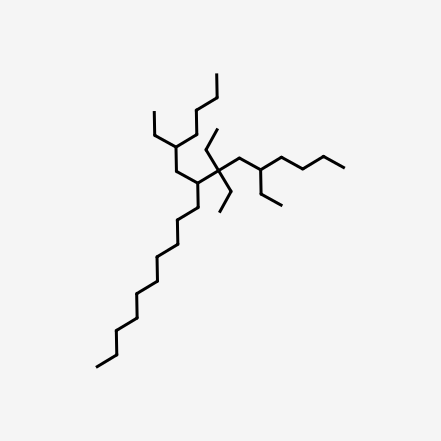 CCCCCCCCCCC(CC(CC)CCCC)C(CC)(CC)CC(CC)CCCC